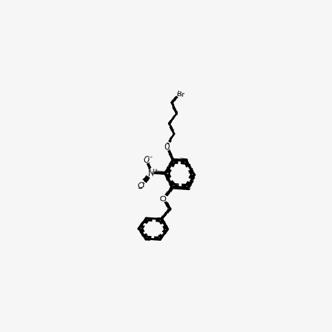 O=[N+]([O-])c1c(OCCCCBr)cccc1OCc1ccccc1